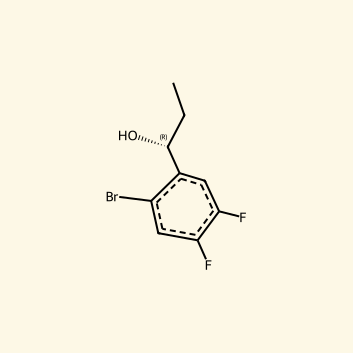 CC[C@@H](O)c1cc(F)c(F)cc1Br